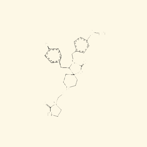 CCCOc1ccc(CN2C(=O)OC3(CCN(CCN4CCNC4=O)CC3)C2Cc2ccc(F)cc2)cc1